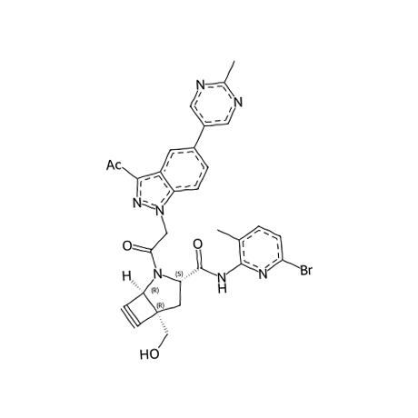 CC(=O)c1nn(CC(=O)N2[C@H](C(=O)Nc3nc(Br)ccc3C)C[C@@]3(CO)C#C[C@@H]23)c2ccc(-c3cnc(C)nc3)cc12